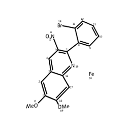 COc1cc2cc([N+](=O)[O-])c(-c3ccccc3Br)nc2cc1OC.[Fe]